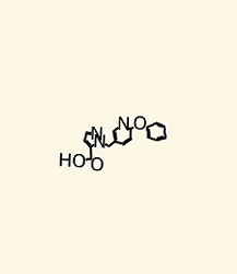 O=C(O)c1ccnn1Cc1ccc(Oc2ccccc2)nc1